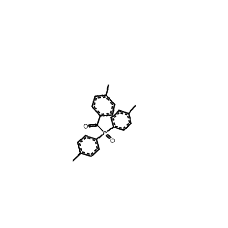 Cc1ccc(C(=O)P(=O)(c2ccc(C)cc2)c2ccc(C)cc2)cc1